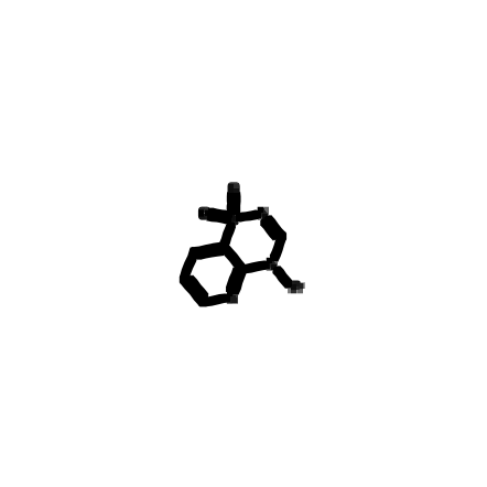 CC(C)N1C=NS(=O)(=O)c2cccnc21